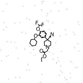 CCOC(=O)CN1CCC(C#N)(c2ccc(OC(F)F)c(OC3CCCCC3)c2)CC1